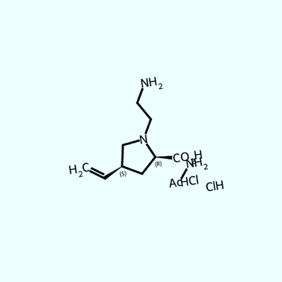 C=C[C@@H]1C[C@H](C(=O)O)N(CCN)C1.CC(N)=O.Cl.Cl